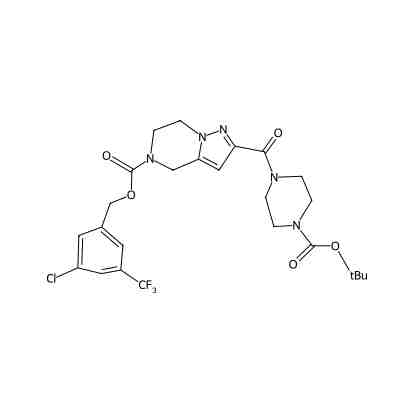 CC(C)(C)OC(=O)N1CCN(C(=O)c2cc3n(n2)CCN(C(=O)OCc2cc(Cl)cc(C(F)(F)F)c2)C3)CC1